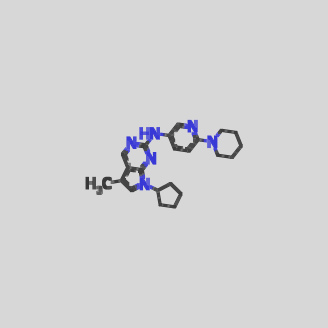 Cc1cn(C2CCCC2)c2nc(Nc3ccc(N4CCCCC4)nc3)ncc12